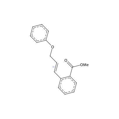 COC(=O)c1ccccc1/C=C/COc1ccccc1